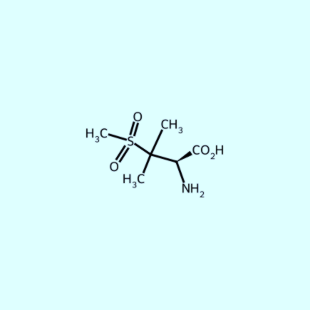 CC(C)([C@H](N)C(=O)O)S(C)(=O)=O